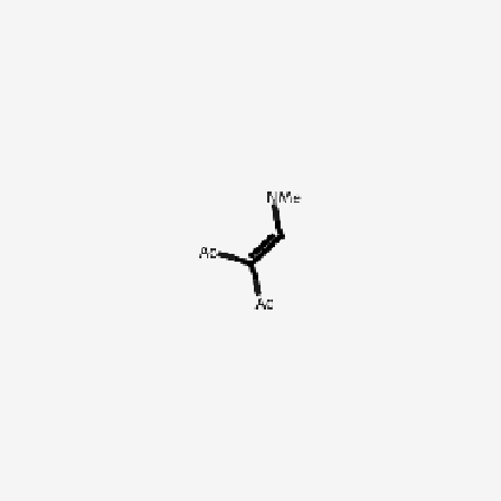 CNC=C(C(C)=O)C(C)=O